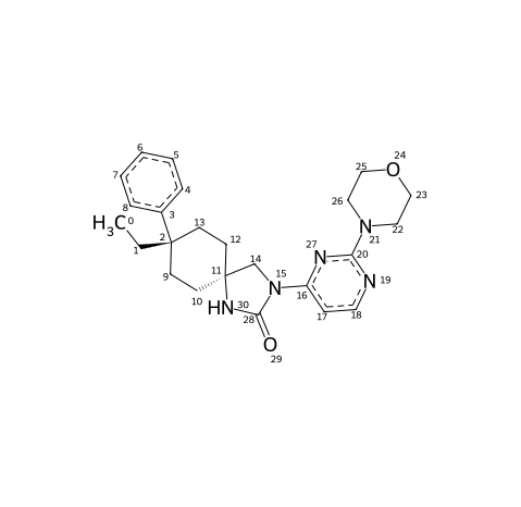 CC[C@]1(c2ccccc2)CC[C@]2(CC1)CN(c1ccnc(N3CCOCC3)n1)C(=O)N2